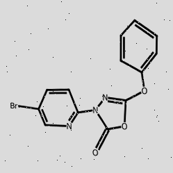 O=c1oc(Oc2ccccc2)nn1-c1ccc(Br)cn1